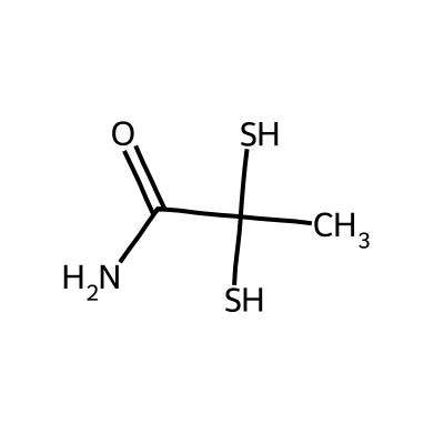 CC(S)(S)C(N)=O